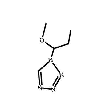 CCC(OC)n1cnnn1